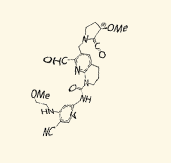 COCCNc1cc(NC(=O)N2CCCc3cc(CN4CC[C@@H](OC)C4=C=O)c(C=O)nc32)ncc1C#N